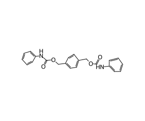 O=C(Nc1ccccc1)OCc1ccc(COC(=O)Nc2ccccc2)cc1